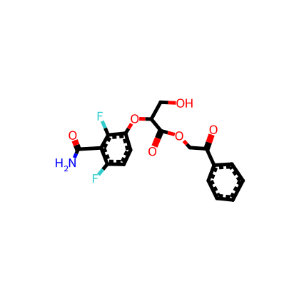 NC(=O)c1c(F)ccc(OC(CO)C(=O)OCC(=O)c2ccccc2)c1F